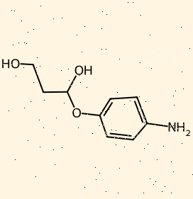 Nc1ccc(OC(O)CCO)cc1